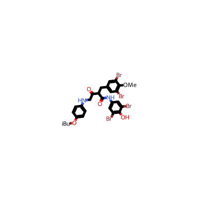 CCC(C)Oc1ccc(NCC(=O)C(Cc2cc(Br)c(OC)c(Br)c2)C(=O)Nc2cc(Br)c(O)c(Br)c2)cc1